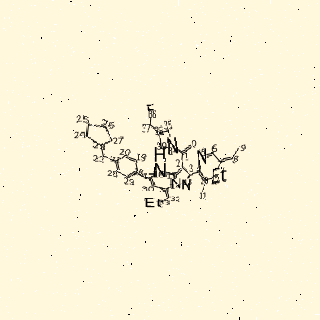 C=C(c1c(C(/N=C\C=C/C)=C(\C)CC)nn2c1NC(c1ccc(CC3CCCC3)cc1)=C/C2=C\CC)N1CC(CF)C1